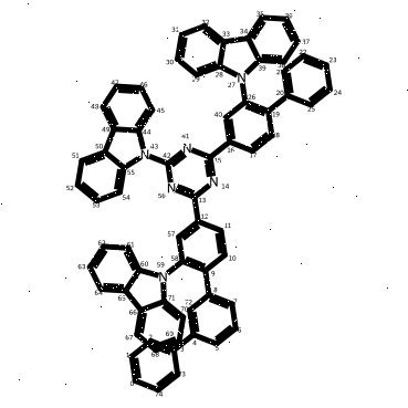 c1ccc(-c2cccc(-c3ccc(-c4nc(-c5ccc(-c6ccccc6)c(-n6c7ccccc7c7ccccc76)c5)nc(-n5c6ccccc6c6ccccc65)n4)cc3-n3c4ccccc4c4ccccc43)c2)cc1